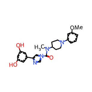 COc1cccc(N2CCC(N(C)C(=O)n3cnc(-c4cc(O)cc(O)c4)c3)CC2)c1